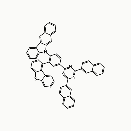 c1ccc2cc(-c3nc(-c4ccc(-n5c6ccccc6c6cc7ccccc7cc65)c(-c5cccc6sc7ccccc7c56)c4)nc(-c4ccc5ccccc5c4)n3)ccc2c1